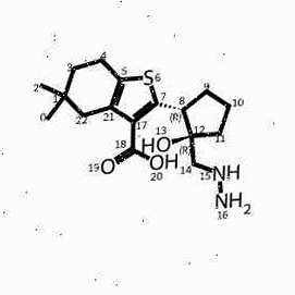 CC1(C)CCc2sc([C@@H]3CCC[C@]3(O)CNN)c(C(=O)O)c2C1